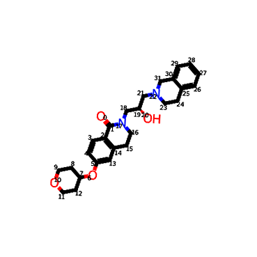 O=C1c2ccc(OC3CCOCC3)cc2CCN1C[C@H](O)CN1CCc2ccccc2C1